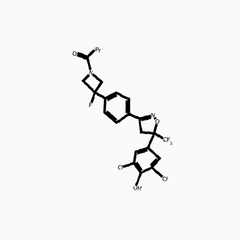 CC(C)C(=O)N1CC(F)(c2ccc(C3=NOC(c4cc(Cl)c(O)c(Cl)c4)(C(F)(F)F)C3)cc2)C1